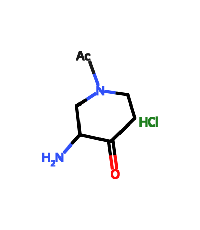 CC(=O)N1CCC(=O)C(N)C1.Cl